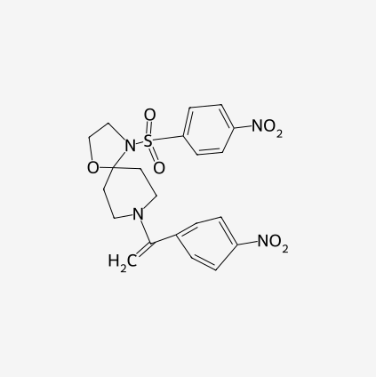 C=C(c1ccc([N+](=O)[O-])cc1)N1CCC2(CC1)OCCN2S(=O)(=O)c1ccc([N+](=O)[O-])cc1